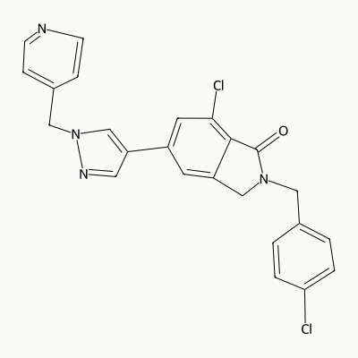 O=C1c2c(Cl)cc(-c3cnn(Cc4ccncc4)c3)cc2CN1Cc1ccc(Cl)cc1